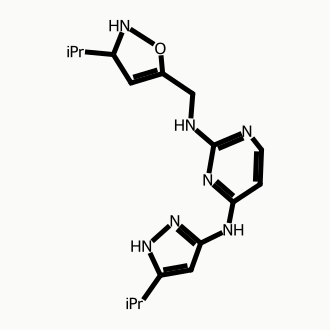 CC(C)c1cc(Nc2ccnc(NCC3=CC(C(C)C)NO3)n2)n[nH]1